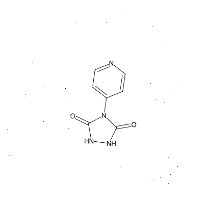 O=c1[nH][nH]c(=O)n1-c1ccncc1